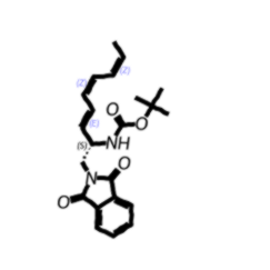 C\C=C/C=C\C=C\[C@@H](CN1C(=O)c2ccccc2C1=O)NC(=O)OC(C)(C)C